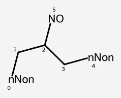 CCCCCCCCCCC(CCCCCCCCCC)N=O